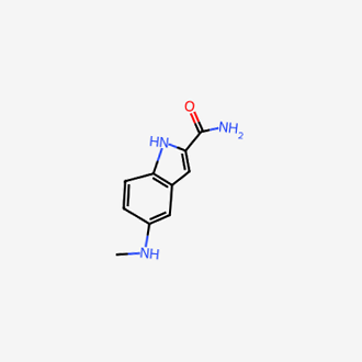 CNc1ccc2[nH]c(C(N)=O)cc2c1